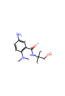 CN(C)c1ccc(N)cc1C(=O)NC(C)(C)CO